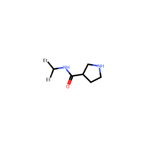 CCC(CC)NC(=O)C1CCNC1